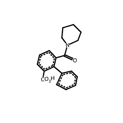 O=C(O)c1cccc(C(=O)N2CCCCC2)c1-c1ccccc1